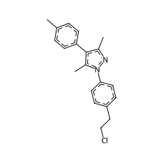 Cc1ccc(-c2c(C)nn(-c3ccc(CCCl)cc3)c2C)cc1